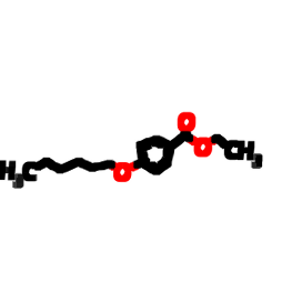 CCCCCCOc1ccc(C(=O)OCC)cc1